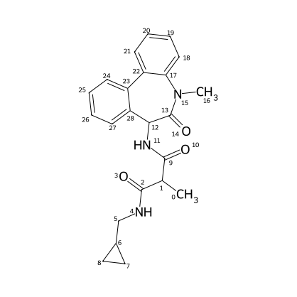 CC(C(=O)NCC1CC1)C(=O)NC1C(=O)N(C)c2ccccc2-c2ccccc21